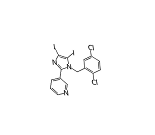 Clc1ccc(Cl)c(Cn2c(-c3cccnc3)nc(I)c2I)c1